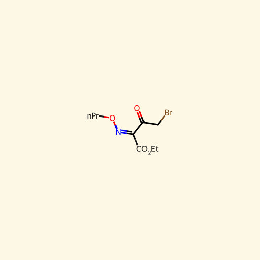 CCCON=C(C(=O)CBr)C(=O)OCC